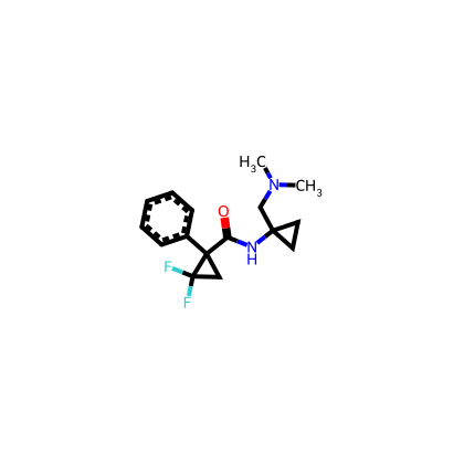 CN(C)CC1(NC(=O)C2(c3ccccc3)CC2(F)F)CC1